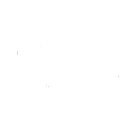 Cc1c(CC#N)ccnc1C(F)(F)F